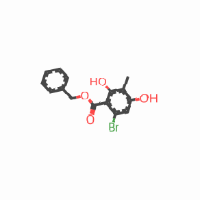 Cc1c(O)cc(Br)c(C(=O)OCc2ccccc2)c1O